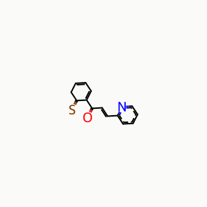 O=C(C=Cc1ccccn1)C1=CC=CCC1=S